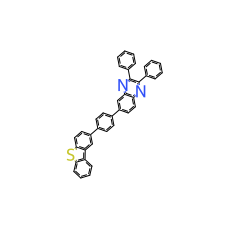 c1ccc(-c2nc3ccc(-c4ccc(-c5ccc6sc7ccccc7c6c5)cc4)cc3nc2-c2ccccc2)cc1